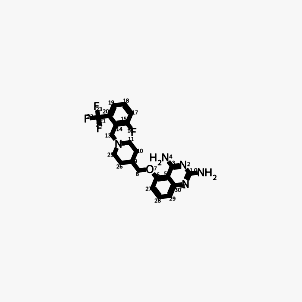 Nc1nc(N)c2c(OCC3CCN(Cc4c(F)cccc4C(F)(F)F)CC3)cccc2n1